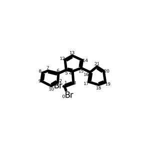 BrC(Br)=Cc1c(-c2ccccc2)cccc1-c1ccccc1